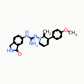 C=C1C(c2ccc(OC)cc2)=CC=CN1/N=C(\N)Nc1ccc2c(c1)C(=O)NC2